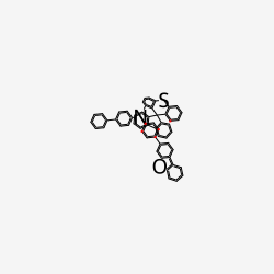 c1ccc(-c2ccc(N(c3ccc(-c4ccc5c(c4)oc4ccccc45)cc3)c3cccc4c3C3(c5ccccc5S4)c4ccccc4-c4ccccc43)cc2)cc1